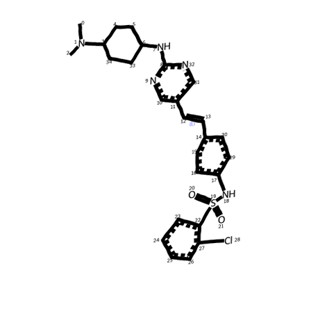 CN(C)C1CCC(Nc2ncc(/C=C/c3ccc(NS(=O)(=O)c4ccccc4Cl)cc3)cn2)CC1